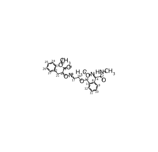 CNC(=O)/C(=N/OC)c1ccccc1COC/C=N/OC(Cc1ccccc1)C(=O)OC